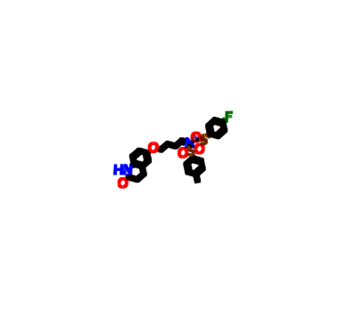 Cc1ccc(S(=O)(=O)[N+](=CCCCOc2ccc3c(c2)CCC(=O)N3)OSc2ccc(F)cc2)cc1